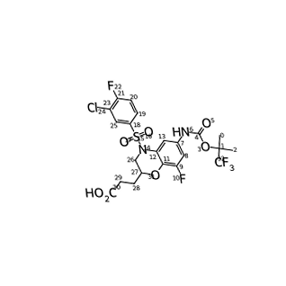 CC(C)(OC(=O)Nc1cc(F)c2c(c1)N(S(=O)(=O)c1ccc(F)c(Cl)c1)CC(CCC(=O)O)O2)C(F)(F)F